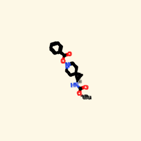 CC(C)(C)OC(=O)N[C@H]1CC12CCN(OC(=O)c1ccccc1)CC2